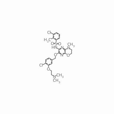 Cc1c(Cl)cccc1S(=O)(=O)Nc1nc2c(nc1OCc1ccc(Cl)c(OCCN(C)C)c1)OCCN2C